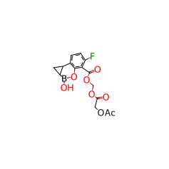 CC(=O)OCC(=O)OCOC(=O)c1c(F)ccc2c1OB(O)C1CC21